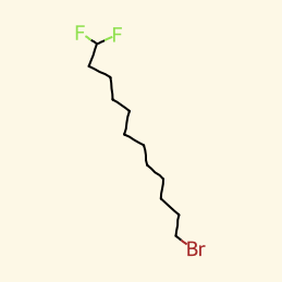 FC(F)CCCCCCCCCCCBr